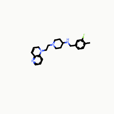 Cc1ccc(CNC2CCN(CCN3CC=Cc4ncccc43)CC2)cc1F